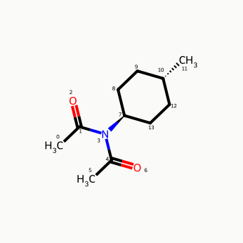 CC(=O)N(C(C)=O)[C@H]1CC[C@H](C)CC1